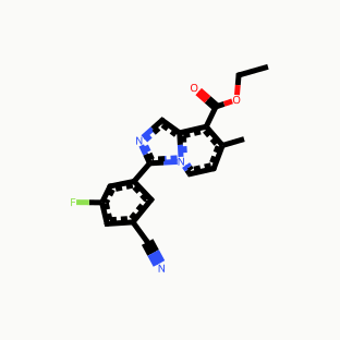 CCOC(=O)c1c(C)ccn2c(-c3cc(F)cc(C#N)c3)ncc12